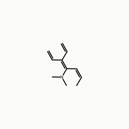 C=CC(C=C)=C(/C=C\C)N(C)C